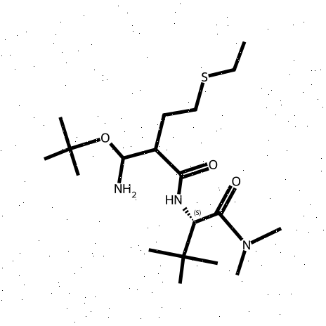 CCSCCC(C(=O)N[C@H](C(=O)N(C)C)C(C)(C)C)C(N)OC(C)(C)C